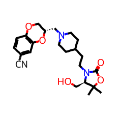 CC1(C)OC(=O)N(CCC2CCN(C[C@H]3COc4ccc(C#N)cc4O3)CC2)[C@@H]1CO